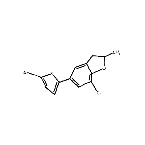 CC(=O)c1ccc(-c2cc(Cl)c3c(c2)CC(C)O3)s1